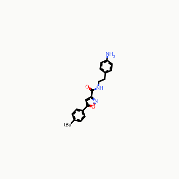 CC(C)(C)c1ccc(-c2cc(C(=O)NCCc3ccc(N)cc3)no2)cc1